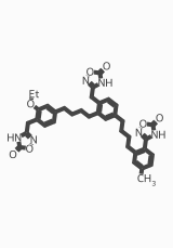 CCOc1cc(CCCCc2cc(CCCCc3cc(C)ccc3-c3noc(=O)[nH]3)ccc2Cc2noc(=O)[nH]2)ccc1Cc1noc(=O)[nH]1